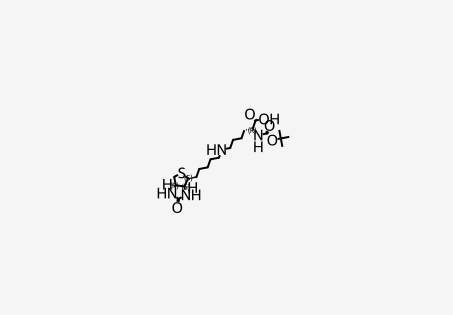 CC(C)(C)OC(=O)N[C@H](CCCCNCCCCC[C@@H]1SC[C@@H]2NC(=O)N[C@@H]21)C(=O)O